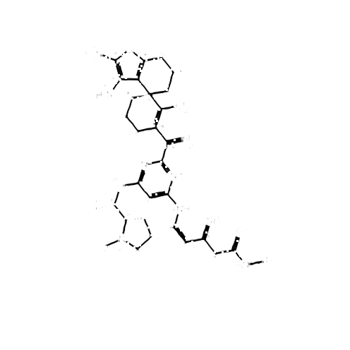 CC(C)NC(=O)CC(=N)/C=C\Nc1cc(O[C@@H](C)[C@@H]2CCCN2C)nc(C(=N)C2=C(O)[C@@]3(CCC2)CCCc2sc(N)c(N)c23)n1